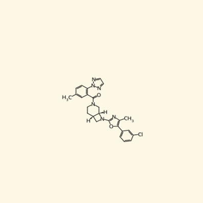 Cc1ccc(-n2nccn2)c(C(=O)N2CC[C@H]3CN(c4nc(C)c(-c5cccc(Cl)c5)o4)[C@H]3C2)c1